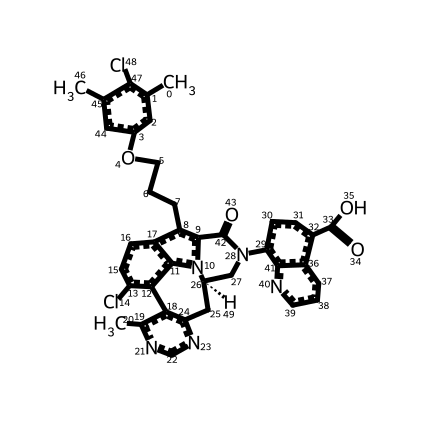 Cc1cc(OCCCc2c3n4c5c(c(Cl)ccc25)-c2c(C)ncnc2C[C@@H]4CN(c2ccc(C(=O)O)c4cccnc24)C3=O)cc(C)c1Cl